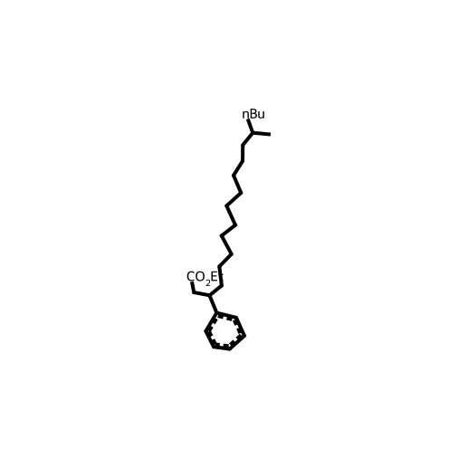 CCCCC(C)CCCCCCCCCCC(CC(=O)OCC)c1ccccc1